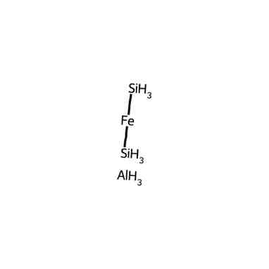 [AlH3].[SiH3][Fe][SiH3]